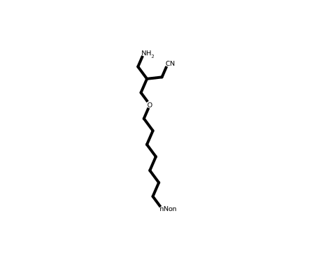 CCCCCCCCCCCCCCCCOCC(CN)CC#N